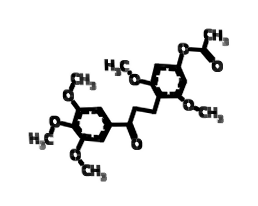 COc1cc(OC(C)=O)cc(OC)c1CCC(=O)c1cc(OC)c(OC)c(OC)c1